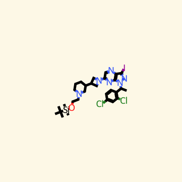 CC(c1ccc(Cl)cc1Cl)n1nc(I)c2ncc(N3CC(C4CCCN(CCO[Si](C)(C)C(C)(C)C)C4)C3)nc21